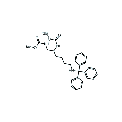 CC(C)(C)OC(=O)NCC(CCCCNC(c1ccccc1)(c1ccccc1)c1ccccc1)NC(=O)OC(C)(C)C